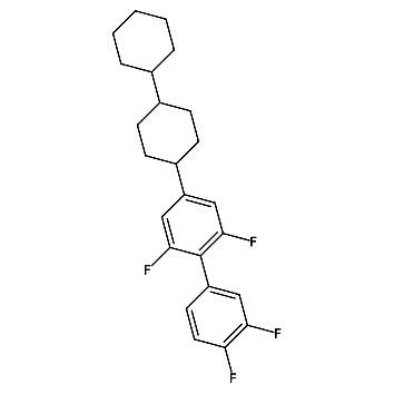 Fc1ccc(-c2c(F)cc(C3CCC(C4CCCCC4)CC3)cc2F)cc1F